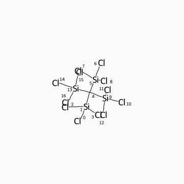 Cl[Si](Cl)(Cl)C([Si](Cl)(Cl)Cl)([Si](Cl)(Cl)Cl)[Si](Cl)(Cl)Cl